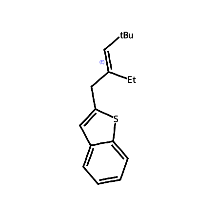 CC/C(=C\C(C)(C)C)Cc1cc2ccccc2s1